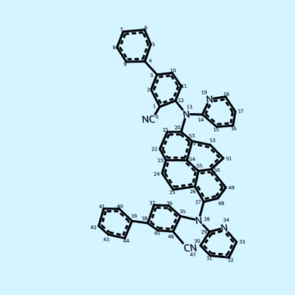 N#Cc1cc(-c2ccccc2)ccc1N(c1ccccn1)c1ccc2ccc3c(N(c4ccccn4)c4ccc(-c5ccccc5)cc4C#N)ccc4ccc1c2c43